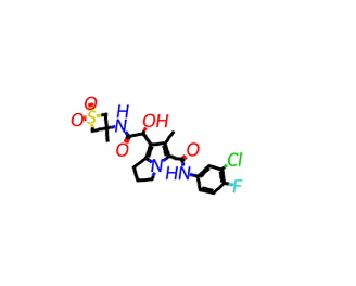 Cc1c(C(O)C(=O)NC2(C)CS(=O)(=O)C2)c2n(c1C(=O)Nc1ccc(F)c(Cl)c1)CCC2